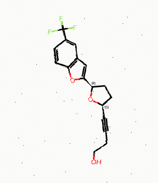 OCCC#C[C@@H]1CC[C@H](c2cc3cc(C(F)(F)F)ccc3o2)O1